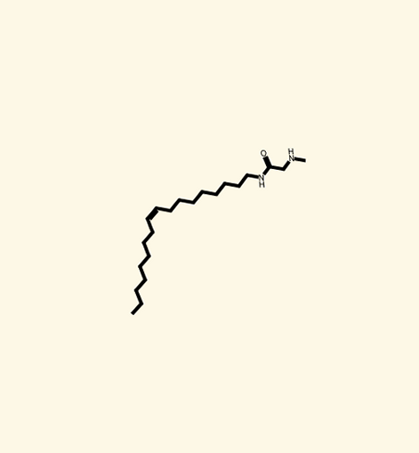 CCCCCCCC/C=C\CCCCCCCCNC(=O)CNC